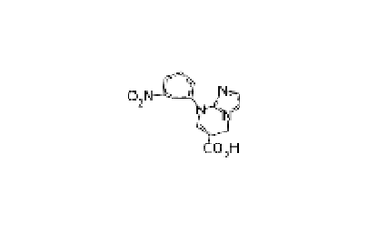 O=C(O)C1=CN(c2cccc([N+](=O)[O-])c2)c2nccn2C1